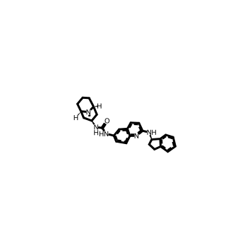 CN1[C@@H]2CCC[C@H]1C[C@@H](NC(=O)Nc1ccc3nc(N[C@@H]4CCc5ccccc54)ccc3c1)C2